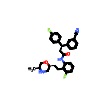 [CH2][C@H]1CO[C@H](CCc2c(F)cccc2NC(=O)C[C@@H](c2ccc(F)cc2)c2cccc(C#N)c2)CN1